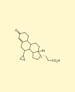 CCC12CCC3C4CCC(=O)C=C4CC(C4CC4)C3C1CC[C@H]2CCC(=O)O